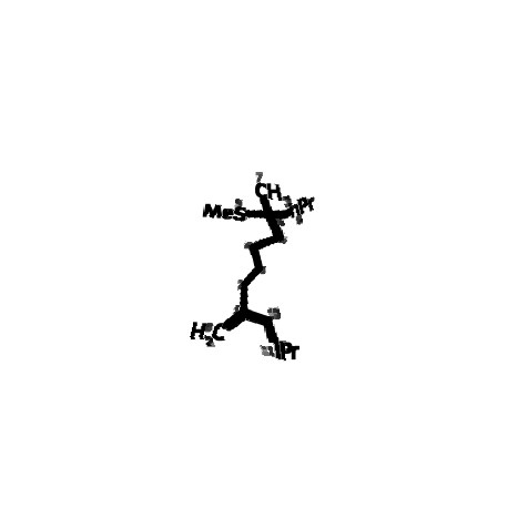 C=C(CCCCC(C)(CCC)SC)CC(C)C